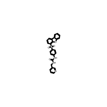 O=C(NCc1cccnc1)Nc1ccc(S(=O)(=O)c2cccc3c2oc2ccccc23)cc1